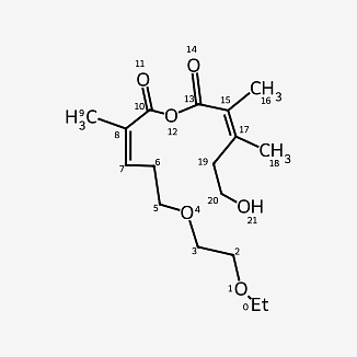 CCOCCOCCC=C(C)C(=O)OC(=O)C(C)=C(C)CCO